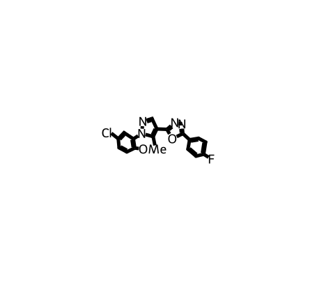 COc1ccc(Cl)cc1-n1ncc(-c2nnc(-c3ccc(F)cc3)o2)c1C